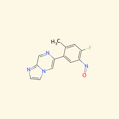 Cc1cc(F)c(N=O)cc1-c1cn2ccnc2cn1